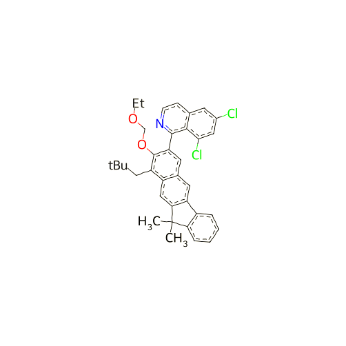 CCOCOc1c(-c2nccc3cc(Cl)cc(Cl)c23)cc2cc3c(cc2c1CC(C)(C)C)C(C)(C)c1ccccc1-3